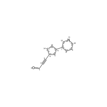 O=CC#Cc1cc(-c2cccnc2)cs1